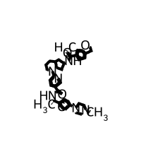 Cc1c(C(=O)NC2CC3CCCN(c4ccc(C(=O)N[C@@H](C)c5ccc(N6CCN(C)CC6)cc5)cn4)C3C2)ccc2c1OCC2